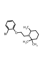 CC1CCCC(C)(C)N1CCOc1ccccc1Br